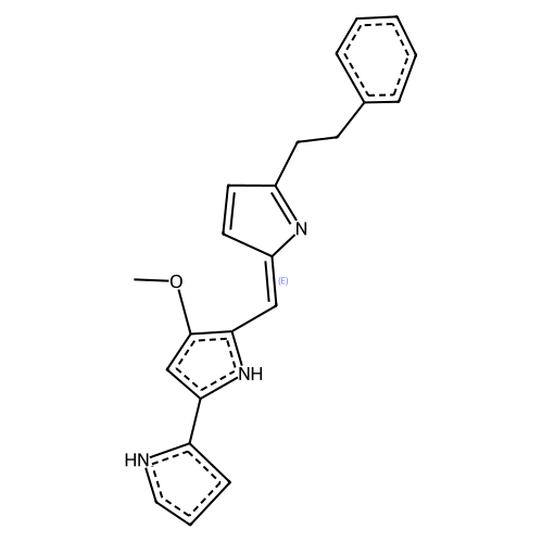 COc1cc(-c2ccc[nH]2)[nH]c1/C=C1\C=CC(CCc2ccccc2)=N1